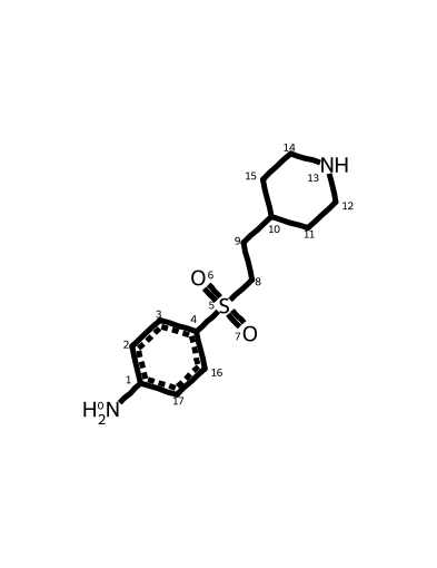 Nc1ccc(S(=O)(=O)CCC2CCNCC2)cc1